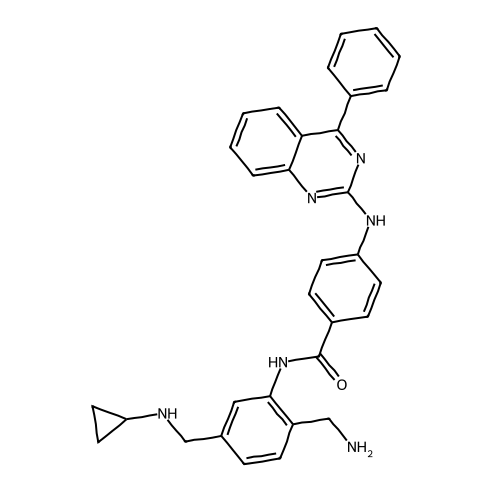 NCc1ccc(CNC2CC2)cc1NC(=O)c1ccc(Nc2nc(-c3ccccc3)c3ccccc3n2)cc1